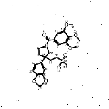 COc1cc(C(=O)N2CCC(CCS(C)(=O)=O)(c3ccc4c(c3)OCO4)C2)cc(OC)c1OC